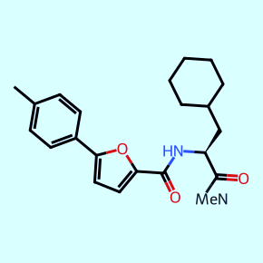 CNC(=O)[C@H](CC1CCCCC1)NC(=O)c1ccc(-c2ccc(C)cc2)o1